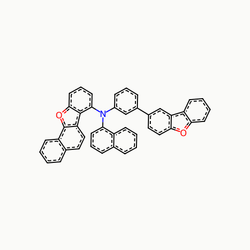 c1cc(-c2ccc3oc4ccccc4c3c2)cc(N(c2cccc3ccccc23)c2cccc3oc4c5ccccc5ccc4c23)c1